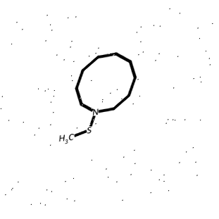 CSN1CCCCCCCCC1